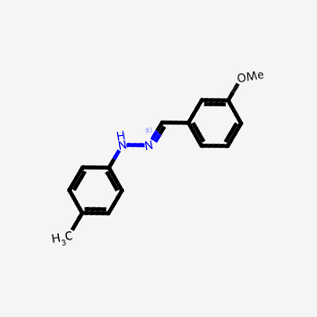 COc1cccc(/C=N/Nc2ccc(C)cc2)c1